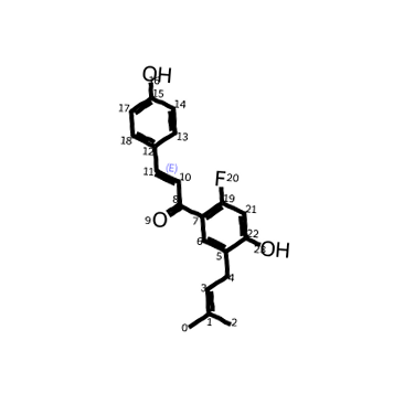 CC(C)=CCc1cc(C(=O)/C=C/c2ccc(O)cc2)c(F)cc1O